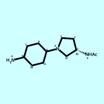 CC(=O)N[C@H]1CCN(C2CCC(N)CC2)C1